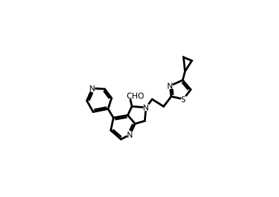 O=CC1c2c(-c3ccncc3)ccnc2CN1CCc1nc(C2CC2)cs1